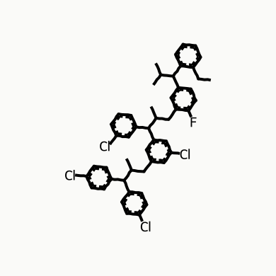 CCc1ccccc1C(c1ccc(F)c(CC(C)C(c2cccc(Cl)c2)c2cc(Cl)cc(CC(C)C(c3ccc(Cl)cc3)c3ccc(Cl)cc3)c2)c1)C(C)C